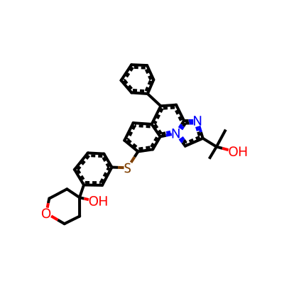 CC(C)(O)c1cn2c(cc(-c3ccccc3)c3ccc(Sc4cccc(C5(O)CCOCC5)c4)cc32)n1